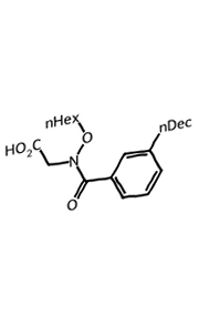 CCCCCCCCCCc1cccc(C(=O)N(CC(=O)O)OCCCCCC)c1